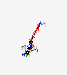 CC1(C)[C@H](NC(=O)c2ccc(OCCOCCOCCOCCOCCN)cc2)C(C)(C)[C@H]1Oc1ccc(C#N)c(Cl)c1